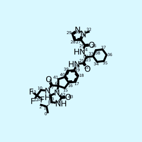 CC(C)[C@@H]1CN(C2(C(=O)NCC(F)(F)F)Cc3ccc(NC(=O)[C@@H](NC(=O)c4ccnn4C)C4CCCCC4)cc3C2)C(=O)N1